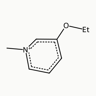 CCOc1ccc[n+](C)c1